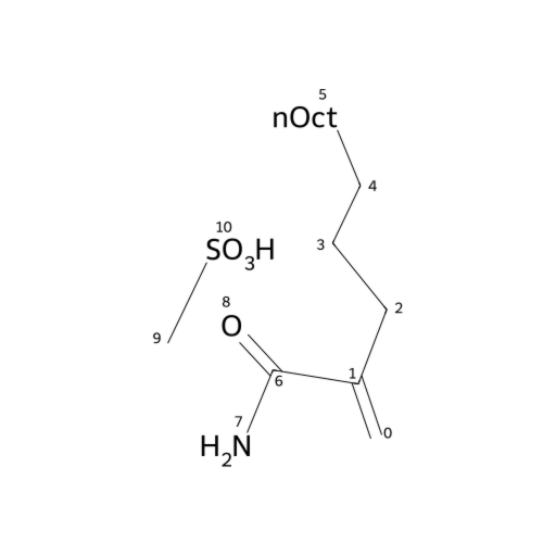 C=C(CCCCCCCCCCC)C(N)=O.CS(=O)(=O)O